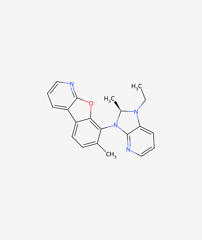 CCN1c2cccnc2N(c2c(C)ccc3c2oc2ncccc23)[C@H]1C